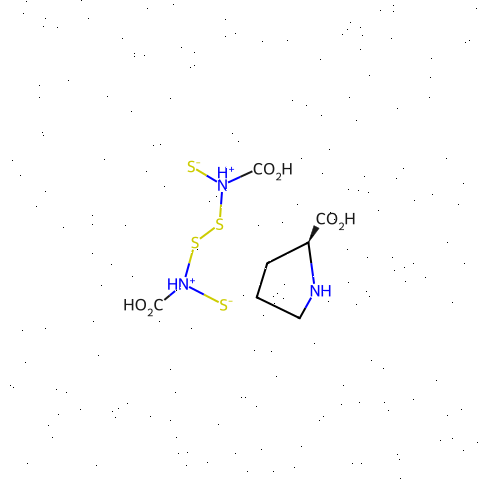 O=C(O)[C@@H]1CCCN1.O=C(O)[NH+]([S-])SS[NH+]([S-])C(=O)O